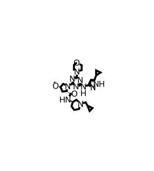 CO[C@H]1C[C@@H](C(=O)N[C@@H]2CCCN(CC3CC3)C2)N(c2nc(Nc3cc(C4CC4)[nH]n3)nc(N3CCOCC3)n2)C1